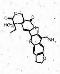 CC[C@@]1(O)C(=O)OCc2c1cc1n(c2=O)Cc2c-1nc1cc3c(cc1c2CN)OCC3